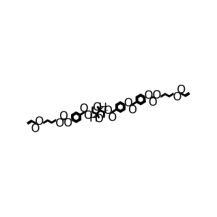 C=CC(=O)OCCCCOC(=O)Oc1ccc(C(=O)Oc2ccc(C(=O)O[C@@H]3CO[C@@H]4C(OC(=O)c5ccc(OC(=O)OCCCCOC(=O)C=C)cc5)CO[C@@H]43)cc2)cc1